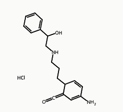 Cl.NC1=CC(=C=O)C(CCCNCC(O)c2ccccc2)C=C1